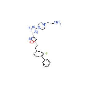 NCCN1CCN(C(N)=NCc2cc(CCc3ccc(-c4ccccc4)c(F)c3)on2)CC1